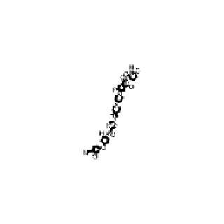 N#Cc1ccc(O[C@H]2CC[C@H](NC(=O)c3cnc(N4CC5(CCN(C6CCN(c7cc8c(cc7F)C(=O)N(C7CCC(=O)NC7=O)C8=O)CC6)CC5)C4)cn3)CC2)cc1Cl